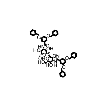 O=C(N[C@H]1[C@@H](O)[C@@H](CO)O[C@@H](S[C@@H]2O[C@H](CO)[C@H](O)[C@H](NC(=O)c3cc(OCc4ccccc4)cc(OCc4ccccc4)c3)[C@H]2O)[C@@H]1O)c1cc(OCc2ccccc2)cc(OCc2ccccc2)c1